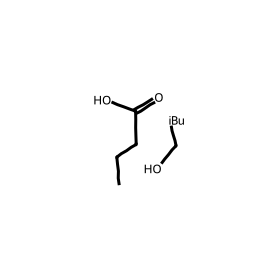 CCC(C)CO.CCCC(=O)O